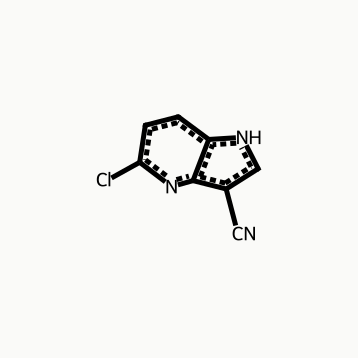 N#Cc1c[nH]c2ccc(Cl)nc12